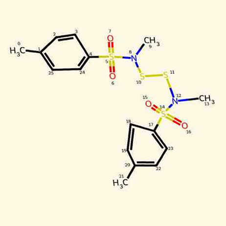 Cc1ccc(S(=O)(=O)N(C)SSN(C)S(=O)(=O)c2ccc(C)cc2)cc1